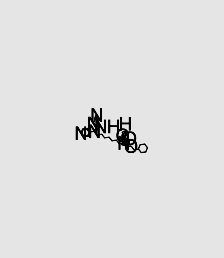 N#CN=C(N)N(CCCCCCCN(COCC1CCCCC1)[SH](=O)=O)c1ccncc1